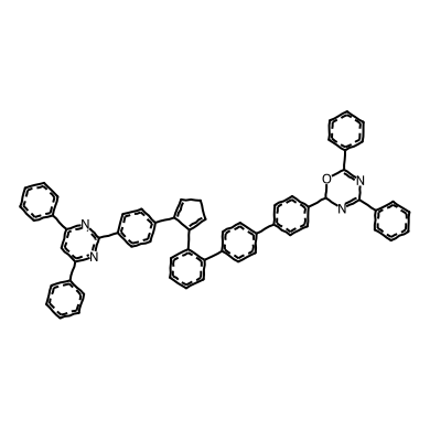 C1=C(c2ccc(-c3nc(-c4ccccc4)cc(-c4ccccc4)n3)cc2)C(c2ccccc2-c2ccc(-c3ccc(C4N=C(c5ccccc5)N=C(c5ccccc5)O4)cc3)cc2)=CC1